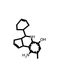 Cc1cc(O)c2c(c1N)C1C=CCC1C(C1CC=CCC1)N2